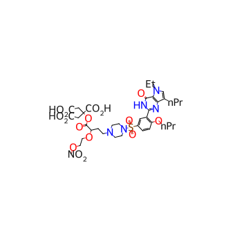 CCCOc1ccc(S(=O)(=O)N2CCN(CCC(OCCO[N+](=O)[O-])C(=O)OC(CC(=O)O)(CC(=O)O)C(=O)O)CC2)cc1-c1nc2c(CCC)cn(CC)c2c(=O)[nH]1